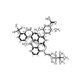 CC(C)c1nccc(OCCO[Si](C)(C)C(C)(C)C)c1-n1c(=O)nc(N2C[C@@H](C)N(C(=O)O)C[C@@H]2C)c2cc(F)c(-c3cccc(C(F)(F)F)c3O)nc21